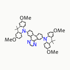 COc1ccc2c(c1)C(C)(C)c1cc(OC)ccc1N2c1ccc2c3ccc(N4c5ccc(OC)cc5C(C)(C)c5cc(OC)ccc54)cc3c3nccnc3c2c1